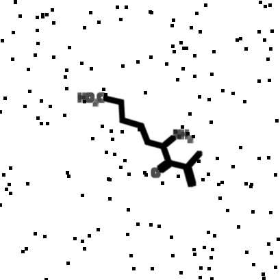 C=C(C)C(=O)C(N)CCCCC(=O)O